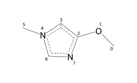 COc1[c]n(C)cn1